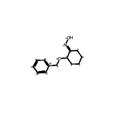 ON=C1CCCCC1OCc1ccccc1